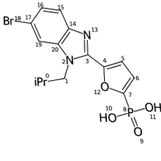 CC(C)Cn1c(-c2ccc(P(=O)(O)O)o2)nc2ccc(Br)cc21